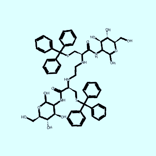 O=C(NC1C(O)O[C@H](CO)[C@@H](O)[C@@H]1O)[C@H](CSC(c1ccccc1)(c1ccccc1)c1ccccc1)NCCN[C@@H](CSC(c1ccccc1)(c1ccccc1)c1ccccc1)C(=O)NC1C(O)O[C@H](CO)[C@@H](O)[C@@H]1O